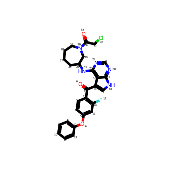 O=C(c1ccc(Oc2ccccc2)cc1F)c1c[nH]c2ncnc(NC3CCCCN(C(=O)CCl)C3)c12